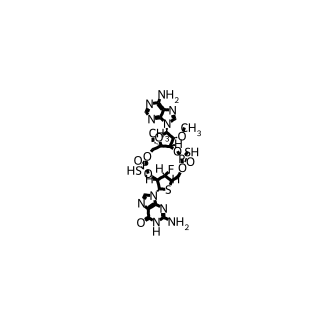 CC[C@@]12COP(=O)(S)O[C@@H]3[C@@H](F)[C@@H](COP(=O)(S)O[C@H]1[C@@H](OC)[C@H](n1cnc4c(N)ncnc41)O2)S[C@H]3n1cnc2c(=O)[nH]c(N)nc21